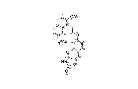 COc1ccc2ccc(OC)c(CCOc3ccc(CC4SC(=O)NC4=O)cc3)c2c1